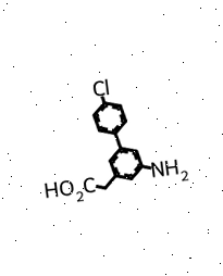 Nc1cc(CC(=O)O)cc(-c2ccc(Cl)cc2)c1